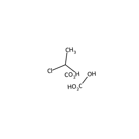 CC(Cl)C(=O)O.O=C(O)O